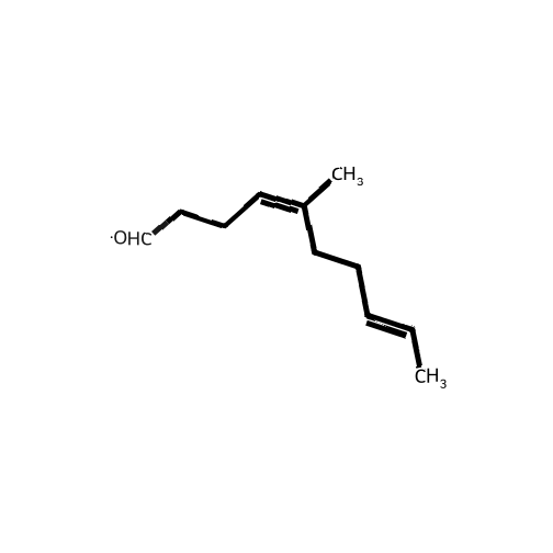 CC=CCCC(C)=CCC[C]=O